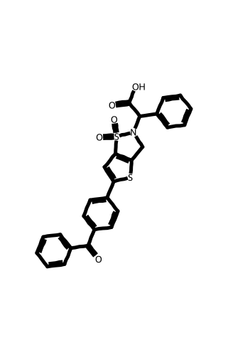 O=C(c1ccccc1)c1ccc(-c2cc3c(s2)CN(C(C(=O)O)c2ccccc2)S3(=O)=O)cc1